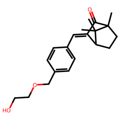 CC12CCC(/C(=C\c3ccc(COCCO)cc3)C1=O)C2(C)C